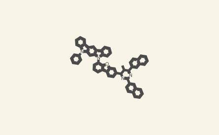 CC1C(c2ccc3ccccc3c2)=NC(c2ccc3ccccc3c2)=NC1c1ccc2c(c1)oc1c(-n3c4ccccc4c4cc5c6ccccc6n(-c6ccccc6)c5cc43)cccc12